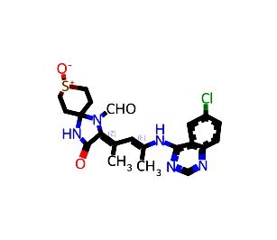 CC(/C=C(\C)Nc1ncnc2ccc(Cl)cc12)=C1\C(=O)NC2(CC[S+]([O-])CC2)N1C=O